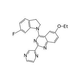 CCOc1ccc2nc(-c3cnccn3)nc(N3CCc4ccc(F)cc43)c2c1